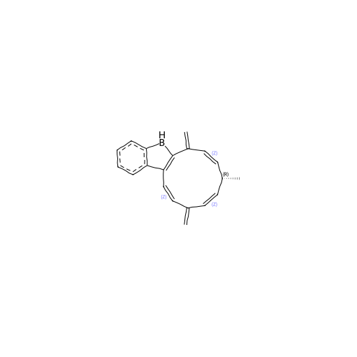 C=C1/C=C\C2=C(Bc3ccccc32)C(=C)/C=C\[C@H](C)/C=C\1